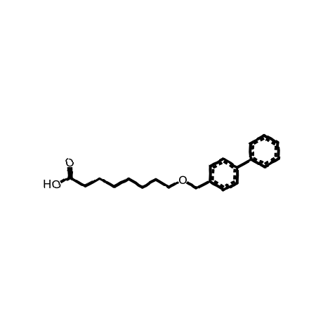 O=C(O)CCCCCCCOCc1ccc(-c2ccccc2)cc1